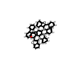 c1ccc(-c2oc3ccccc3c2N2c3ccccc3B3c4ccccc4N(c4c(-c5ccccc5)oc5ccccc45)c4cc(-n5c6ccccc6c6ccccc65)cc2c43)cc1